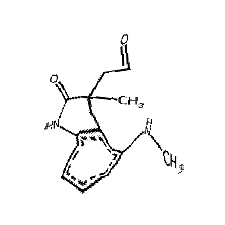 CNc1cccc2c1C(C)(CC=O)C(=O)N2